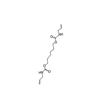 C=CCNC(=O)OCCCCCCOC(=O)NCC=C